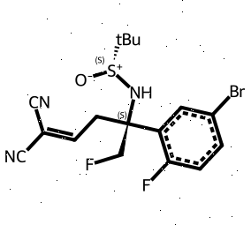 CC(C)(C)[S@@+]([O-])N[C@@](CF)(CC=C(C#N)C#N)c1cc(Br)ccc1F